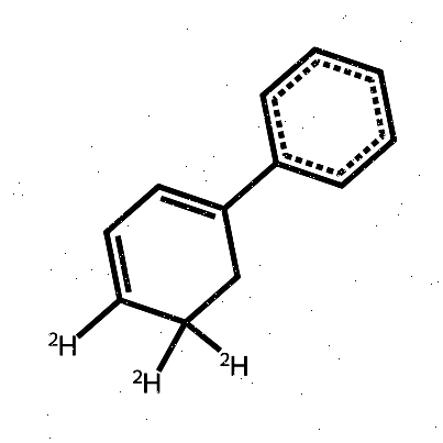 [2H]C1=CC=C(c2ccccc2)CC1([2H])[2H]